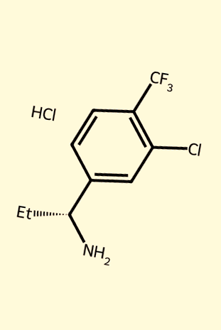 CC[C@@H](N)c1ccc(C(F)(F)F)c(Cl)c1.Cl